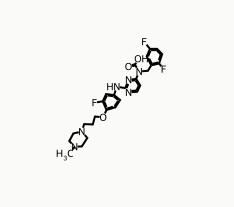 CN1CCN(CCCOc2ccc(Nc3nccc(N(Cc4cc(F)ccc4F)C(=O)O)n3)cc2F)CC1